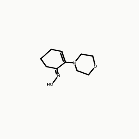 ON=C1CCCC=C1N1CCOCC1